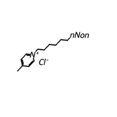 CCCCCCCCCCCCCCC[n+]1ccc(C)cc1.[Cl-]